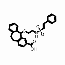 O=C(O)c1ccc2c(c1)C(SCCNS(=O)(=O)/C=C/c1ccccc1)c1ccccc1CC2